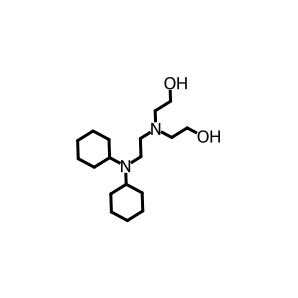 OCCN(CCO)CCN(C1CCCCC1)C1CCCCC1